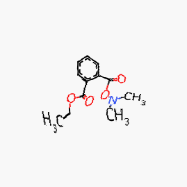 CCOC(=O)c1ccccc1C(=O)ON(C)C